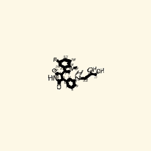 Cn1cc(C2=C(c3cccc(NC[C@@H](O)CO)c3)C(=O)NC2=O)c2cc(F)ccc21